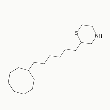 C1CCCC(CCCCCCC2CNCCS2)CCC1